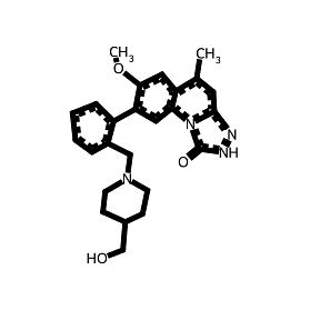 COc1cc2c(C)cc3n[nH]c(=O)n3c2cc1-c1ccccc1CN1CCC(CO)CC1